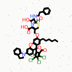 CCCCCCc1cc2c(cc1OCC1=C(C(=O)O)N3C(O)[C@H](NC(=O)Cc4ccccc4)[C@@H]3SC1)Oc1cc(N3CCc4ccccc43)ccc1C21OC(=O)c2c(Cl)c(Cl)c(Cl)c(Cl)c21